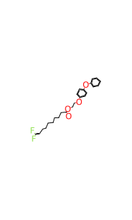 O=C(CCCCCCCC=C(F)F)OCCOc1ccc(Oc2ccccc2)cc1